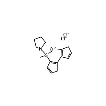 C[Si](C)(C1=C(C2=[C]([Zr+2])CC=C2)CC=C1)N1CCCC1.[Cl-].[Cl-]